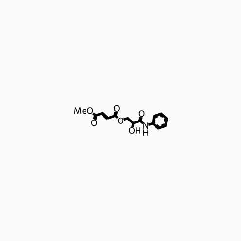 COC(=O)/C=C/C(=O)OCC(O)C(=O)Nc1ccccc1